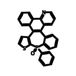 O=P1(c2ccccc2)c2ccccc2-c2c(c3ccccc3c3ncccc23)-c2ccsc21